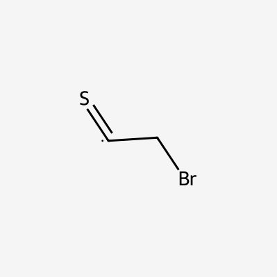 S=[C]CBr